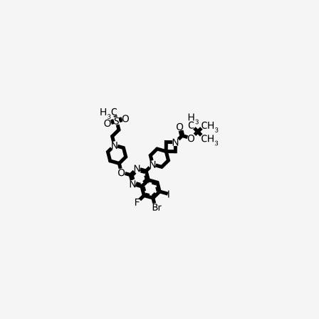 CC(C)(C)OC(=O)N1CC2(CCN(c3nc(OC4CCN(CCS(C)(=O)=O)CC4)nc4c(F)c(Br)c(I)cc34)CC2)C1